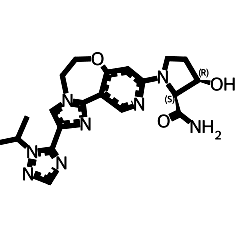 CC(C)n1ncnc1-c1cn2c(n1)-c1cnc(N3CC[C@@H](O)[C@H]3C(N)=O)cc1OCC2